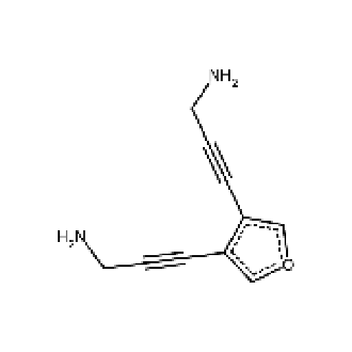 NCC#Cc1cocc1C#CCN